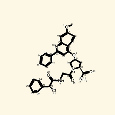 COc1ccc2c(O[C@@H]3C[C@@H](C(N)=O)N(C(=O)CNC(=O)[C@@H](Cl)c4ccccc4)C3)cc(-c3ccccc3)nc2c1